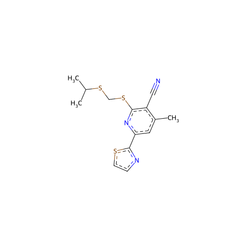 Cc1cc(-c2nccs2)nc(SCSC(C)C)c1C#N